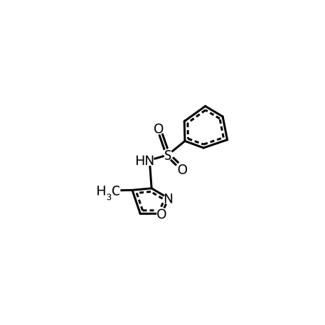 Cc1conc1NS(=O)(=O)c1ccccc1